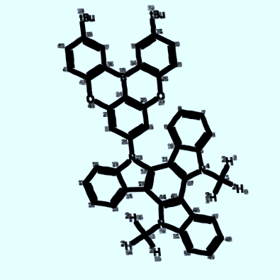 [2H]C([2H])([2H])n1c2ccccc2c2c3c(c4ccccc4n3-c3cc4c5c(c3)Oc3ccc(C(C)(C)C)cc3B5c3cc(C(C)(C)C)ccc3O4)c3c(c4ccccc4n3C([2H])([2H])[2H])c21